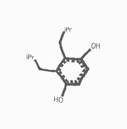 CC(C)Cc1c(O)ccc(O)c1CC(C)C